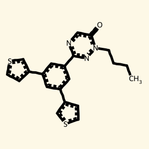 CCCCn1nc(-c2cc(-c3ccsc3)cc(-c3ccsc3)c2)ncc1=O